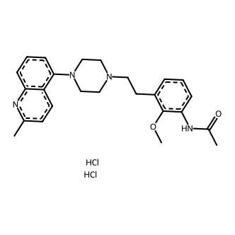 COc1c(CCN2CCN(c3cccc4nc(C)ccc34)CC2)cccc1NC(C)=O.Cl.Cl